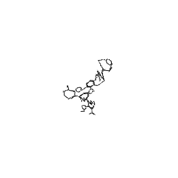 C=C(C)c1cnn(-c2cccc(C3=CCCCC(C)=C3OCc3ccc4c(c3OC)CCN(C3CCOCC3)C4)n2)c1OCC